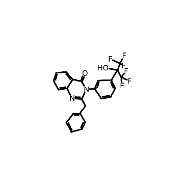 O=c1c2ccccc2nc(Cc2ccccc2)n1-c1cccc(C(O)(C(F)(F)F)C(F)(F)F)c1